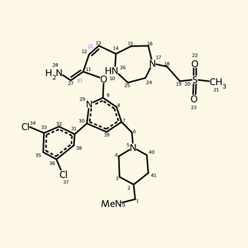 CNCC1CCN(Cc2cc(OC(/C=C\C3CCN(CCS(C)(=O)=O)CCN3)=C/N)nc(-c3cc(Cl)cc(Cl)c3)c2)CC1